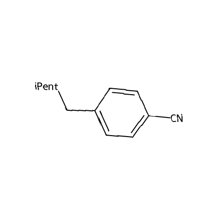 CCCC(C)Cc1ccc(C#N)cc1